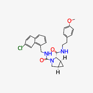 COc1ccc(CCNC(=O)[C@@H]2[C@H]3C[C@H]3CN2C(=O)NCc2cccc3ccc(Cl)cc23)cc1